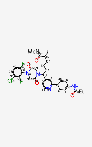 CCC(=O)NC1=CCC(c2cc(C(CCCC(C)C(=O)NC)N3CC(=O)N(c4c(F)ccc(Cl)c4F)CC3=O)ccn2)C=C1